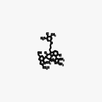 Cc1cc(OCCCc2c3n(c4c(-c5c(C)nn(C)c5C)c(Cl)ccc24)[C@H](C)CN(c2cc(CO)cc4cc(C(=O)O)n(C)c24)C3=O)cc(C)c1Cl